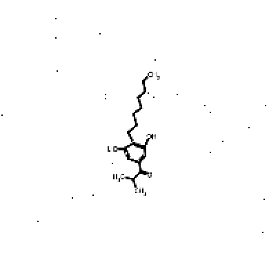 CCCCCCCCc1c(O)cc(C(=O)C(C)C)cc1O